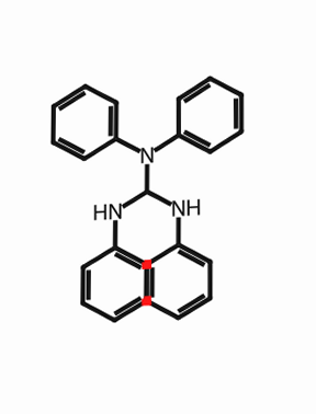 c1ccc(NC(Nc2ccccc2)N(c2ccccc2)c2ccccc2)cc1